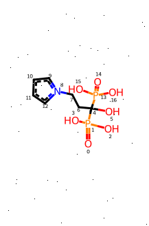 O=P(O)(O)C(O)(CCn1cccc1)P(=O)(O)O